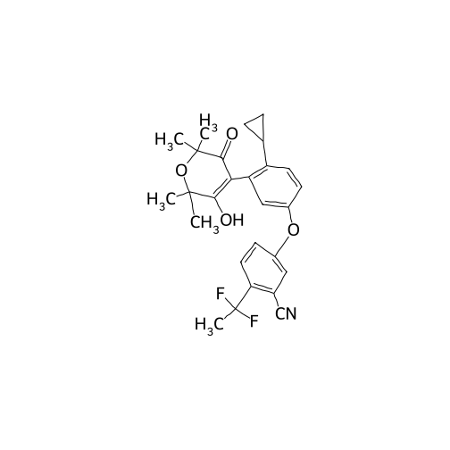 CC1(C)OC(C)(C)C(O)=C(c2cc(Oc3ccc(C(C)(F)F)c(C#N)c3)ccc2C2CC2)C1=O